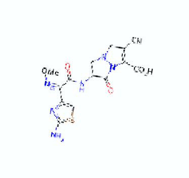 CO/N=C(\C(=O)NC1CN2CC(C#N)=C(C(=O)O)N2C1=O)c1csc(N)n1